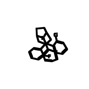 Fc1ccccc1C(c1ccccc1Cl)N1C2CCC1CC(c1ccccn1)C2